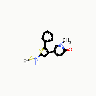 CCSNc1cc(-c2ccc(=O)n(C)c2)c(-c2ccccc2)s1